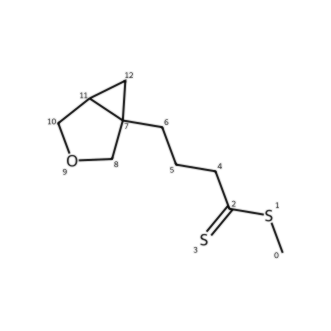 CSC(=S)CCCC12COCC1C2